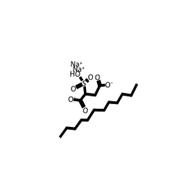 CCCCCCCCCCCC.O=C([O-])CC(C(=O)[O-])S(=O)(=O)O.[Na+].[Na+]